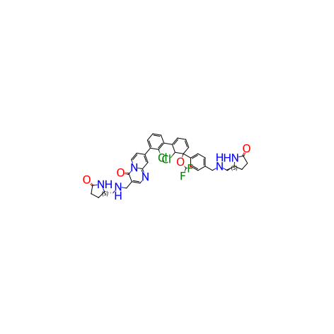 O=C1CC[C@@H](CNCc2ccc(C3(OC(F)F)C=CC=C(c4cccc(-c5ccn6c(=O)c(CNC[C@@H]7CCC(=O)N7)cnc6c5)c4Cl)C3Cl)cc2)N1